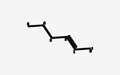 [CH]/C=C/CCC